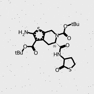 CC(C)(C)OC(=O)c1c(N)sc2c1C[C@@H](C(=O)NC1CCSC1=O)N(C(=O)OC(C)(C)C)C2